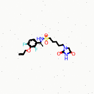 C=CCOc1c(F)ccc([C@H](C)NS(=O)(=O)CCCCCN2CC(=O)NC2=O)c1F